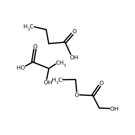 CC(O)C(=O)O.CCCC(=O)O.CCOC(=O)CO